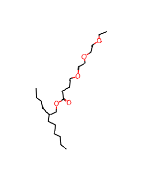 CCCCCCC(CCCC)COC(=O)CCCOCCOCCOCC